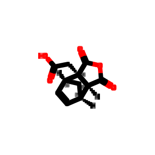 O=C(O)C[C@]12C(=O)OC(=O)[C@H]1[C@H]1C=C[C@@H]2C1